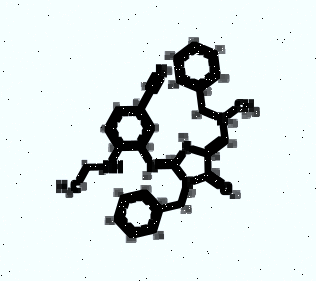 CCNc1ccc(C#N)cc1/N=C1\S/C(=C\N(C)Cc2ccccc2)C(=O)N1Cc1ccccc1